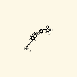 Cc1c(C)c2c(c(C)c1CCCCCCN)CCC(C)(COc1ccc(/C=C3\SC(=O)NC3=O)cc1)O2